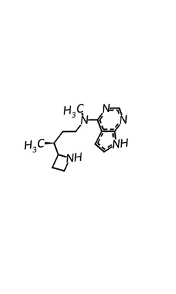 C[C@@H](CCN(C)c1ncnc2[nH]ccc12)C1CCN1